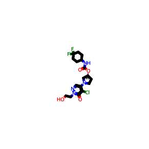 O=C(NC1CCC(F)(F)CC1)O[C@@H]1CCN(c2cnn(CCO)c(=O)c2Cl)C1